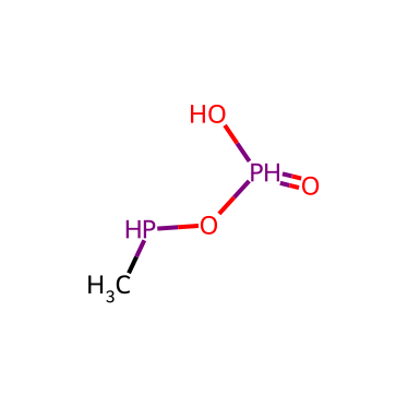 CPO[PH](=O)O